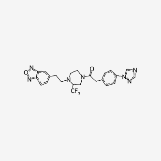 O=C(Cc1ccc(-n2cncn2)cc1)N1CCN(CCc2ccc3nonc3c2)C(C(F)(F)F)C1